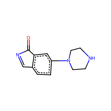 O=C1N=Cc2ccc(N3CCNCC3)cc21